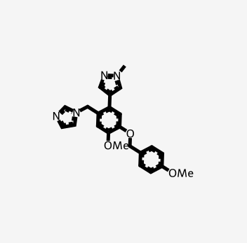 COc1ccc(COc2cc(-c3cnn(C)c3)c(Cn3ccnc3)cc2OC)cc1